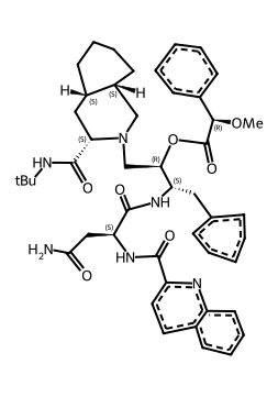 CO[C@@H](C(=O)O[C@H](CN1C[C@H]2CCCC[C@H]2C[C@H]1C(=O)NC(C)(C)C)[C@H](Cc1ccccc1)NC(=O)[C@H](CC(N)=O)NC(=O)c1ccc2ccccc2n1)c1ccccc1